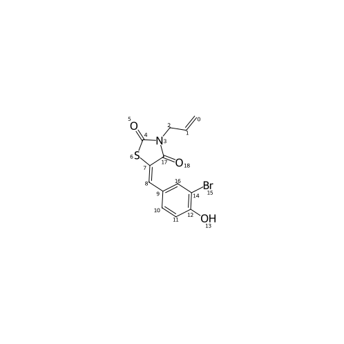 C=CCN1C(=O)SC(=Cc2ccc(O)c(Br)c2)C1=O